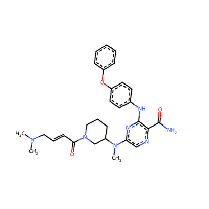 CN(C)C/C=C/C(=O)N1CCCC(N(C)c2cnc(C(N)=O)c(Nc3ccc(Oc4ccccc4)cc3)n2)C1